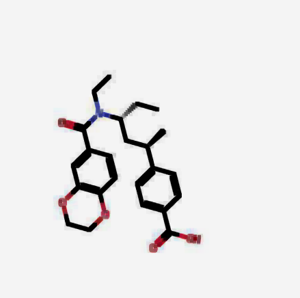 CC[C@H](C[C@@H](C)c1ccc(C(=O)O)cc1)N(CC)C(=O)c1ccc2c(c1)OCCO2